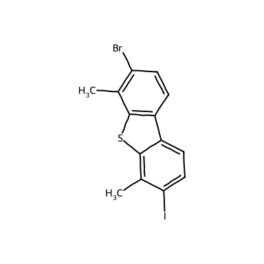 Cc1c(Br)ccc2c1sc1c(C)c(I)ccc12